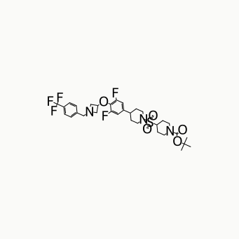 CC(C)(C)OC(=O)N1CCC(S(=O)(=O)N2CCC(c3cc(F)c(OC4CN(Cc5ccc(C(F)(F)F)cc5)C4)c(F)c3)CC2)CC1